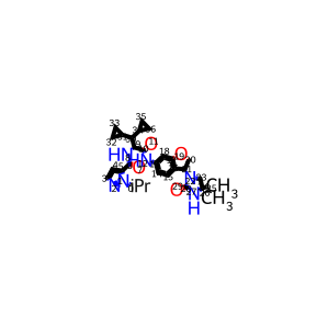 CC(C)n1nccc1C(=O)N[C@H](C(=O)Nc1ccc2c(c1)OC[C@H]2N1CC(C)(C)NC1=O)C(C1CC1)C1CC1